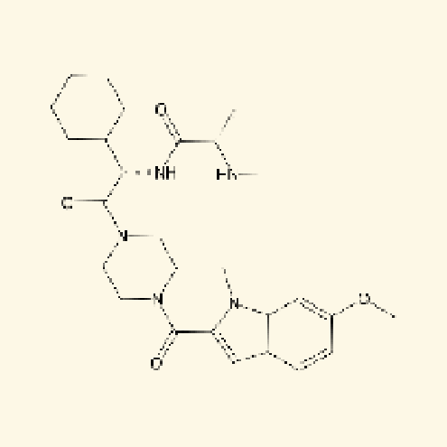 CN[C@@H](C)C(=O)N[C@H](C(=O)N1CCN(C(=O)c2cc3ccc(OC)cc3n2C)CC1)C1CCCCC1